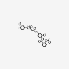 COc1cc(/C=C/C(O)=C/C(=O)/C=C/c2ccc(OC(=O)c3ccccc3OC(C)=O)c(OC)c2)ccc1C